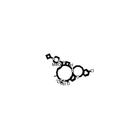 CO[C@]1(CN2CCN(C3CCC3)CC2)/C=C/C[C@H](C)[C@@H](C)S(=O)(=O)NC(=O)c2ccc3c(c2)N(CCCCc2cc(Cl)ccc2CO3)C[C@@H]2CC[C@H]21